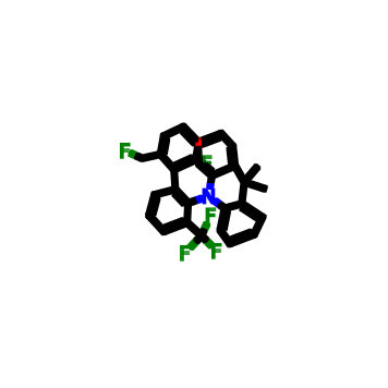 CC1(C)c2ccccc2N(c2c(-c3c(F)cccc3CF)cccc2C(F)(F)F)c2ccccc21